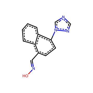 ON=Cc1ccc(-n2cncn2)c2ccccc12